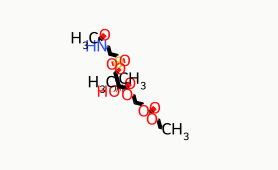 CCCOC(=O)OCCCOC(=O)[C@H](O)C(C)(C)COS(=O)(=O)CCCNC(C)=O